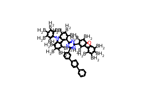 Bc1c(B)c(B)c(-n2c3c(B)c(B)c(B)c(B)c3c3c(-c4nc(-c5cccc(-c6ccc(-c7ccccc7)cc6)c5)nc(-c5c(B)c(B)c6oc7c(B)c(B)c(B)c(B)c7c6c5B)n4)c(B)c(B)c(B)c32)c(B)c1B